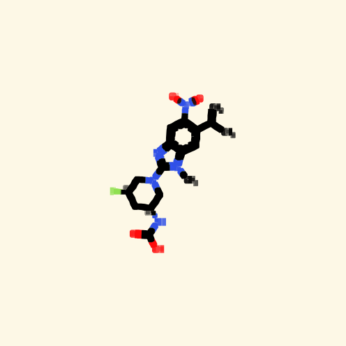 C=C(C)c1cc2c(cc1[N+](=O)[O-])nc(N1C[C@H](F)C[C@@H](NC(=O)O)C1)n2C